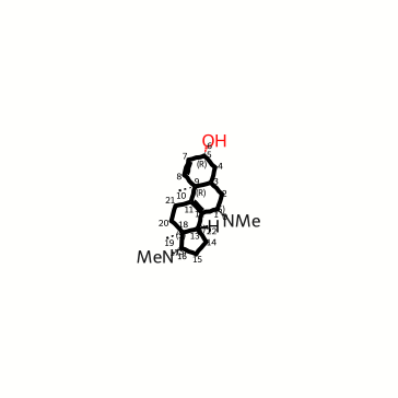 CN[C@H]1CC2C[C@@H](O)C=C[C@]2(C)C2=C1[C@@H]1CC[C@H](NC)[C@@]1(C)CC2